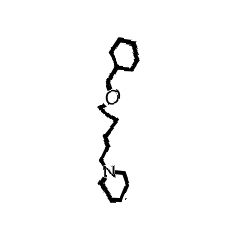 [CH]1CCN(CCCCCOCC2CCCCC2)CC1